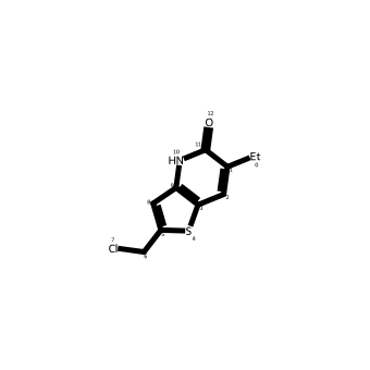 CCc1cc2sc(CCl)cc2[nH]c1=O